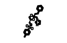 Cc1ccc(S(=O)(=O)OC[C@@H]2CO[C@](CCc3ccccc3)(Cn3ccnc3)O2)cc1